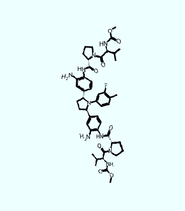 COC(=O)N[C@H](C(=O)N1CCC[C@H]1C(=O)Nc1ccc([C@H]2CC[C@H](c3ccc(NC(=O)[C@@H]4CCCN4C(=O)[C@@H](NC(=O)OC)C(C)C)c(N)c3)N2c2ccc(C)c(F)c2)cc1N)C(C)C